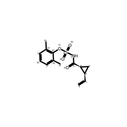 C=C[C@@H]1C[C@@H]1C(=O)NS(=O)(=O)Oc1c(C)cccc1C